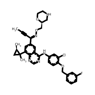 CC#C/C(=N\OC[C@@H]1CNCCO1)c1cc(C2(C)C[C@H]2C)c2ncnc(Nc3ccc(OCc4cccc(F)c4)c(Cl)c3)c2c1